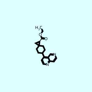 CCOC(=O)[C@@H]1CC12CCC(c1ccnc3ccncc13)CC2